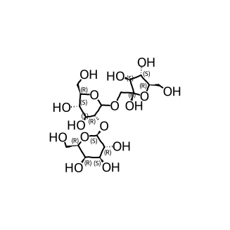 OC[C@H]1O[C@@H](O[C@H]2C(OC[C@@]3(O)O[C@H](CO)[C@@H](O)[C@@H]3O)O[C@H](CO)[C@@H](O)[C@@H]2O)[C@H](O)[C@@H](O)[C@H]1O